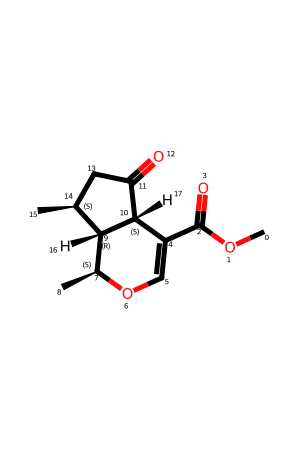 COC(=O)C1=CO[C@@H](C)[C@H]2[C@@H]1C(=O)C[C@@H]2C